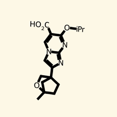 CC(C)Oc1nc2nc(C34CCC(C)(C3)OC4)cn2cc1C(=O)O